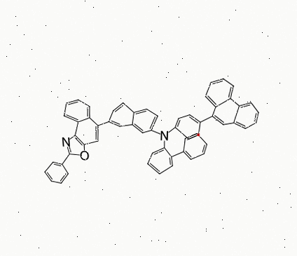 c1ccc(-c2nc3c(cc(-c4ccc5ccc(N(c6ccc(-c7cc8ccccc8c8ccccc78)cc6)c6ccccc6-c6ccccc6)cc5c4)c4ccccc43)o2)cc1